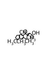 Cc1c2c(cc(C(C)C)c1C(=O)C=CC(=O)O)C(C)(C)CC2